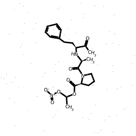 CC(=O)[C@H](CCc1ccccc1)N[C@@H](C)C(=O)N1CCC[C@H]1C(=O)OC(C)O[N+](=O)[O-]